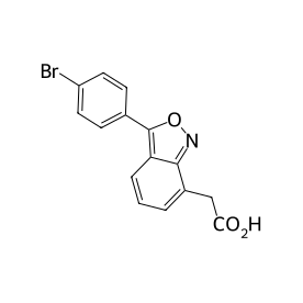 O=C(O)Cc1cccc2c(-c3ccc(Br)cc3)onc12